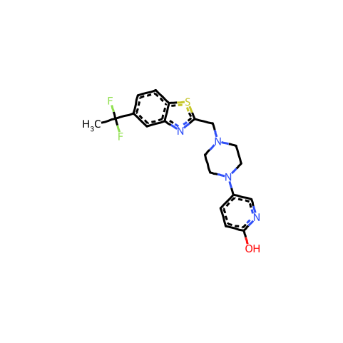 CC(F)(F)c1ccc2sc(CN3CCN(c4ccc(O)nc4)CC3)nc2c1